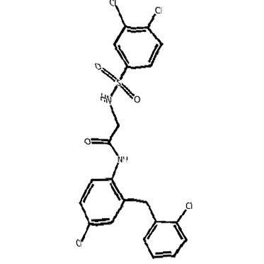 O=C(CNS(=O)(=O)c1ccc(Cl)c(Cl)c1)Nc1ccc(Cl)cc1Cc1ccccc1Cl